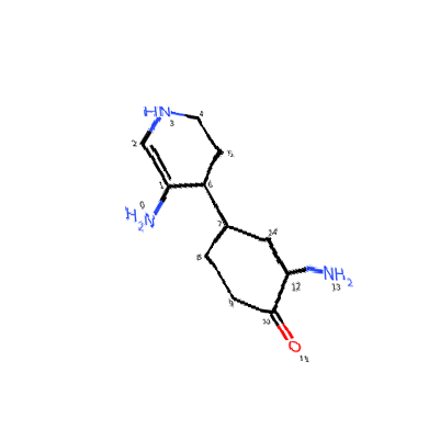 NC1=CNCCC1C1CCC(=O)C(N)C1